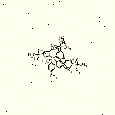 Cl.Cl.[CH2]=[Zr]([C]1=CC(C(C)(C)C)=CC1C(C)C)([c]1ccc(C)cc1)([c]1ccc(C)cc1)[c]1cc(C(C)(C)C)cc2c1Cc1ccc(C(C)(C)C)cc1-2